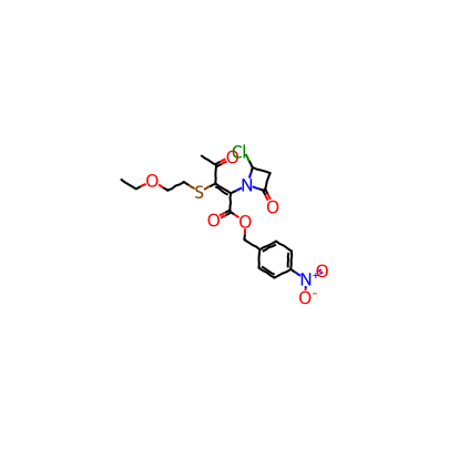 CCOCCSC(C(C)=O)=C(C(=O)OCc1ccc([N+](=O)[O-])cc1)N1C(=O)CC1Cl